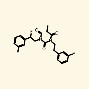 CCC(=O)N(CCc1cccc(F)c1)C(=O)N(C=O)CC(F)c1cccc(F)c1